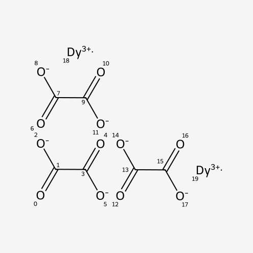 O=C([O-])C(=O)[O-].O=C([O-])C(=O)[O-].O=C([O-])C(=O)[O-].[Dy+3].[Dy+3]